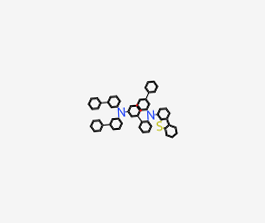 c1ccc(-c2cccc(N(c3cccc(-c4ccccc4)c3)c3cccc(-c4ccccc4N(c4cccc(-c5ccccc5)c4)c4cccc5c4sc4ccccc45)c3)c2)cc1